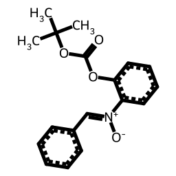 CC(C)(C)OC(=O)Oc1ccccc1[N+]([O-])=Cc1ccccc1